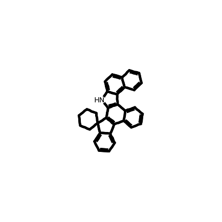 c1ccc2c(c1)-c1c(c3[nH]c4ccc5ccccc5c4c3c3ccccc13)C21CCCCC1